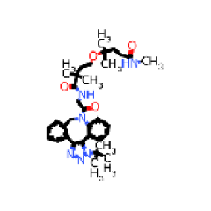 CNC(=O)CCC(C)(C)OCCC(C)(C)C(=O)NCC(=O)N1Cc2ccccc2-c2nnn(C(C)(C)C)c2-c2ccccc21